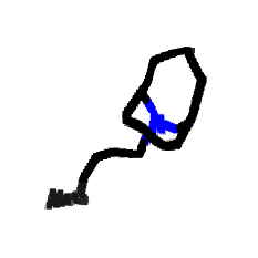 COCCN1C2C[CH]CC1CC2